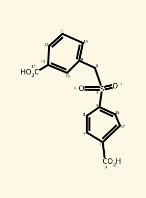 O=C(O)c1ccc(S(=O)(=O)[CH]c2cccc(C(=O)O)c2)cc1